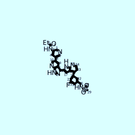 CCC(=O)Nc1cncc(-c2cnc3[nH]nc(-c4cc5c(-c6cc(F)cc(CNS(C)(=O)=O)c6)ccnc5[nH]4)c3c2)c1